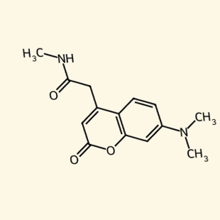 CNC(=O)Cc1cc(=O)oc2cc(N(C)C)ccc12